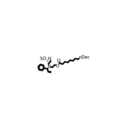 C=CC(c1ccccc1)N(CCOC(=O)CCCCCCCCCCCCCCCCC)CCS(=O)(=O)O